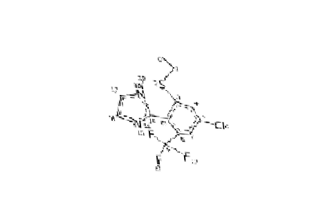 CCSc1cc(Cl)cc(C(F)(F)F)c1-c1nccn1C